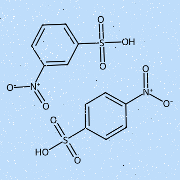 O=[N+]([O-])c1ccc(S(=O)(=O)O)cc1.O=[N+]([O-])c1cccc(S(=O)(=O)O)c1